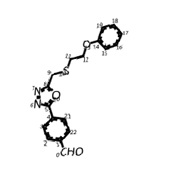 O=Cc1ccc(-c2nnc(CSCCOc3ccccc3)o2)cc1